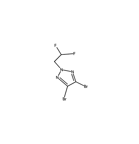 FC(F)Cn1nc(Br)c(Br)n1